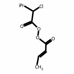 C/C=C/C(=O)OOC(=O)C(Cl)C(C)C